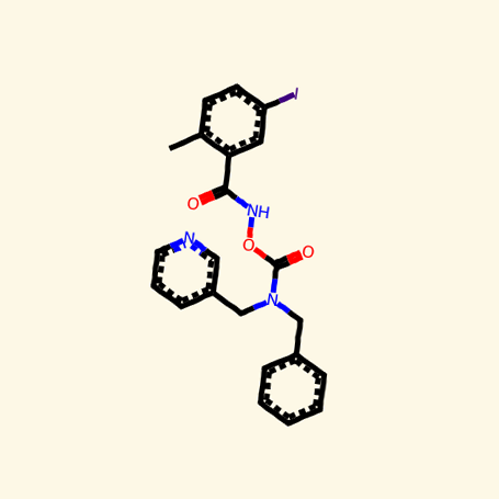 Cc1ccc(I)cc1C(=O)NOC(=O)N(Cc1ccccc1)Cc1cccnc1